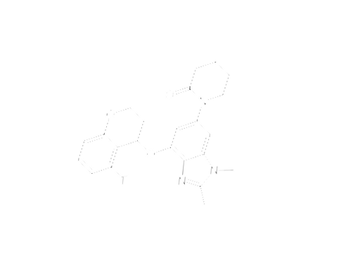 Cc1nc2c(OC3CCOc4cccc(F)c43)cc(N3CCCCC3=O)cc2n1C